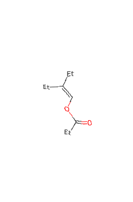 CCC(=O)OC=C(CC)CC